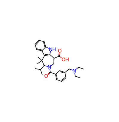 CCN(CC)Cc1cccc(C(=O)N2C=C(C(=O)O)c3[nH]c4ccccc4c3C(C)(C)C2C(C)C)c1